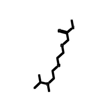 CSC(=O)COCCOCCN(C)C(C)C